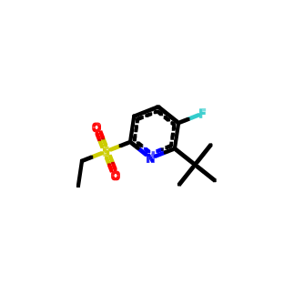 CCS(=O)(=O)c1ccc(F)c(C(C)(C)C)n1